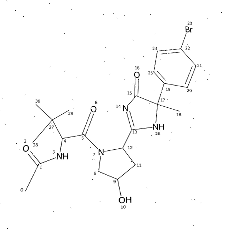 CC(=O)NC(C(=O)N1CC(O)CC1C1=NC(=O)C(C)(c2ccc(Br)cc2)N1)C(C)(C)C